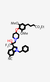 [C-]#[N+]c1ccc2c(C(O)(CN3CCC(Oc4c(OC)cc(CCCC(=O)OCC)cc4OC)CC3)C(F)(F)F)cn(Cc3ccccc3)c2c1